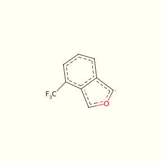 FC(F)(F)c1cccc2[c]occ12